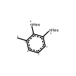 CCCCCCc1cccc(C)c1CCCCCC